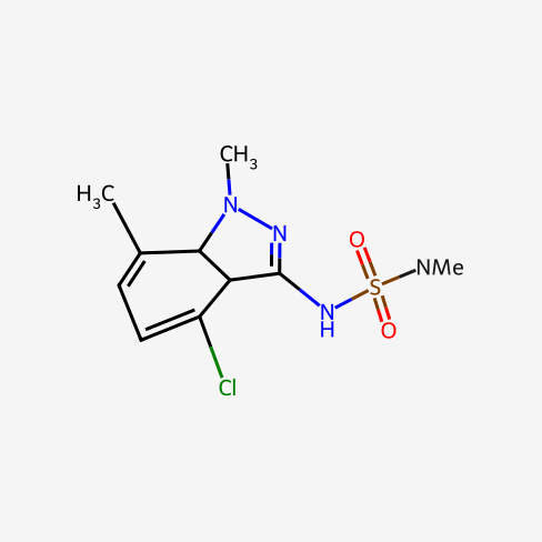 CNS(=O)(=O)NC1=NN(C)C2C(C)=CC=C(Cl)C12